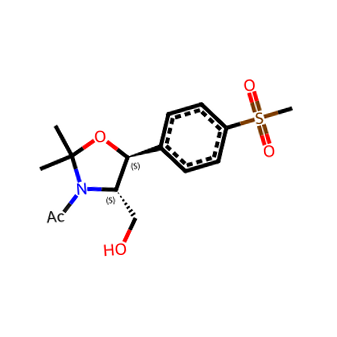 CC(=O)N1[C@@H](CO)[C@H](c2ccc(S(C)(=O)=O)cc2)OC1(C)C